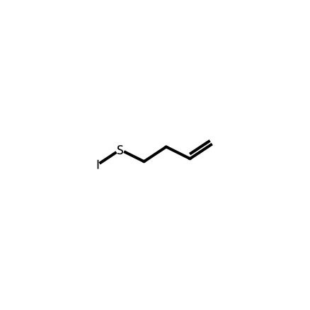 C=CCCSI